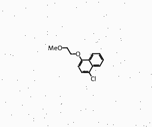 COCCOc1ccc(Cl)c2ccccc12